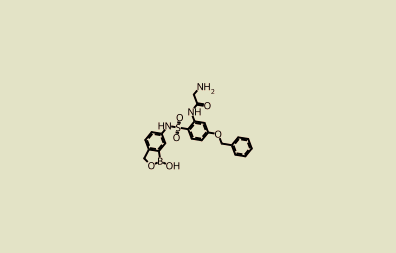 NCC(=O)Nc1cc(OCc2ccccc2)ccc1S(=O)(=O)Nc1ccc2c(c1)B(O)OC2